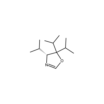 CC(C)[C@H]1N=COC1(C(C)C)C(C)C